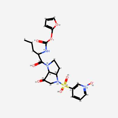 CCCC(NC(=O)Oc1ccco1)C(=O)N1CCC2C1C(=O)CN2S(=O)(=O)c1ccc[n+]([O-])c1